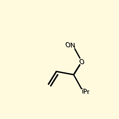 C=CC(ON=O)C(C)C